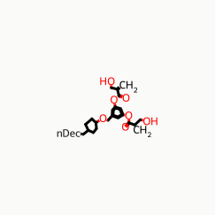 C=C(CO)C(=O)Oc1cc(COC2CCC(CCCCCCCCCCC)CC2)cc(OC(=O)C(=C)CO)c1